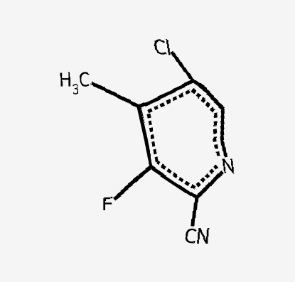 Cc1c(Cl)cnc(C#N)c1F